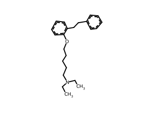 CCN(CC)CCCCCOc1ccccc1CCc1ccccc1